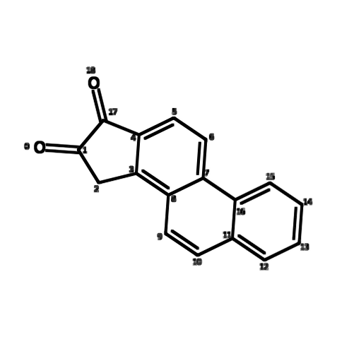 O=C1Cc2c(ccc3c2ccc2ccccc23)C1=O